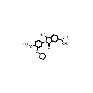 COc1ccc(N2C(=O)c3cc(N(C)C)ccc3C2C)cc1OC1CCCC1